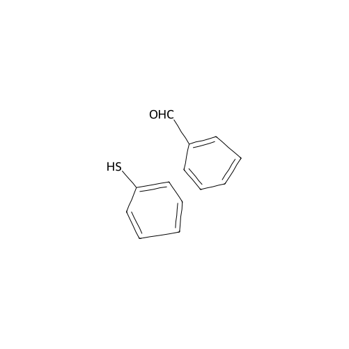 O=Cc1ccccc1.Sc1ccccc1